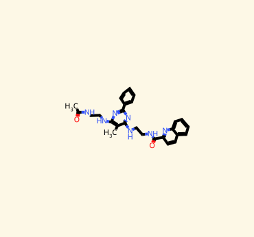 CC(=O)NCCNc1nc(-c2ccccc2)nc(NCCNC(=O)c2ccc3ccccc3n2)c1C